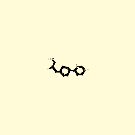 OC/C(F)=C\c1ccc(-c2ccncn2)cc1